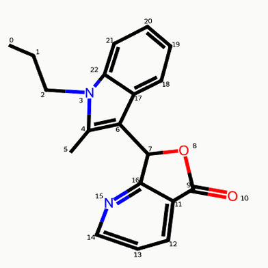 CCCn1c(C)c(C2OC(=O)c3cccnc32)c2ccccc21